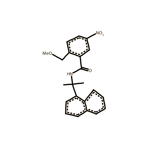 COCc1ccc([N+](=O)[O-])cc1C(=O)NC(C)(C)c1cccc2ccccc12